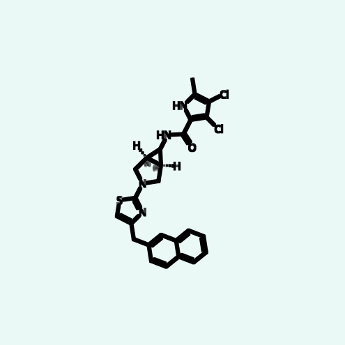 Cc1[nH]c(C(=O)NC2[C@H]3CN(c4nc(Cc5ccc6ccccc6c5)cs4)C[C@@H]23)c(Cl)c1Cl